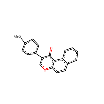 COc1ccc(-c2coc3ccc4ccccc4c3c2=O)cc1